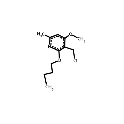 CCCCOc1nc(C)cc(OC)c1CCl